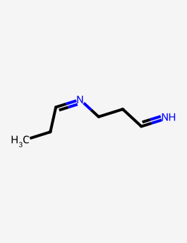 CC/C=N\CCC=N